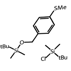 CC(C)(C)[Si](C)(C)Cl.CSc1ccc(CO[Si](C)(C)C(C)(C)C)cc1